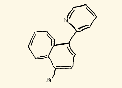 Brc1ccc(-c2ccccn2)c2ccccc12